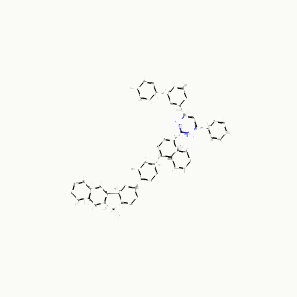 CC1(C)c2ccc(-c3ccc(-c4ccc(-c5nc(-c6ccccc6)cc(-c6cccc(-c7ccccc7)c6)n5)c5ccccc45)cc3)cc2-c2cc3ccccc3cc21